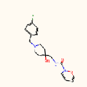 O=C(NCC1(O)CCN(Cc2ccc(F)cc2)CC1)N1C=CC=CO1